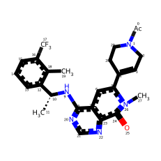 CC(=O)N1CC=C(c2cc3c(N[C@H](C)c4cccc(C(F)(F)F)c4C)ncnc3c(=O)n2C)CC1